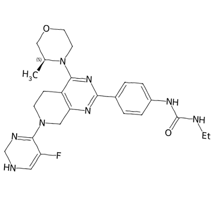 CCNC(=O)Nc1ccc(-c2nc3c(c(N4CCOC[C@@H]4C)n2)CCN(C2=NCNC=C2F)C3)cc1